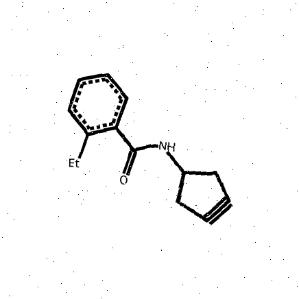 CCc1ccccc1C(=O)NC1CC#CC1